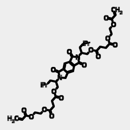 C=CC(=O)OCCOC(=O)CCC(=O)OCC(CC(C)C)N1Cc2cc3c(cc2C1=O)C(=O)N(C(COC(=O)CCC(=O)OCCOC(=O)C=C)CC(C)C)C3=O